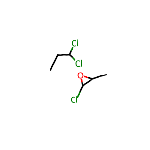 CC1OC1Cl.CCC(Cl)Cl